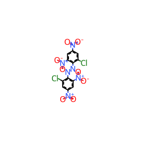 O=[N+]([O-])c1cc(Cl)c(N=Nc2c(Cl)cc([N+](=O)[O-])cc2[N+](=O)[O-])c([N+](=O)[O-])c1